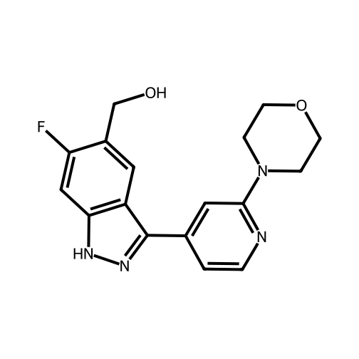 OCc1cc2c(-c3ccnc(N4CCOCC4)c3)n[nH]c2cc1F